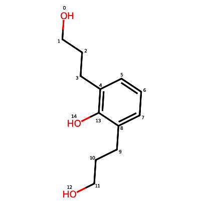 OCCCc1cccc(CCCO)c1O